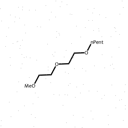 CCCCCOCCOCCOC